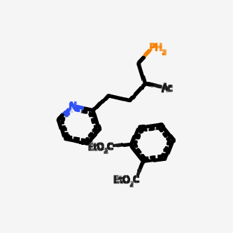 CC(=O)C(CP)CCc1ccccn1.CCOC(=O)c1ccccc1C(=O)OCC